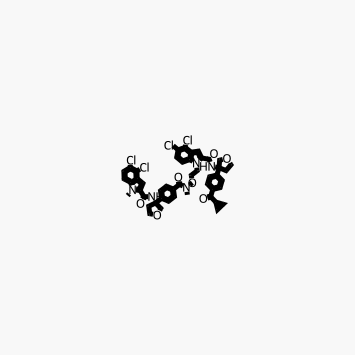 CN(OCCn1c(C(=O)NC2(c3ccc(C(=O)C4CC4)cc3)CCOC2)cc2c(Cl)c(Cl)ccc21)C(=O)c1ccc(C2(NC(=O)c3cc4c(Cl)c(Cl)ccc4n3C)CCOC2)cc1